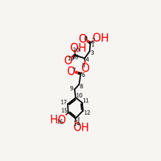 O=C(O)CC(OC(=O)CCc1ccc(O)c(O)c1)C(=O)O